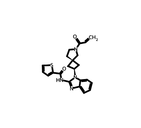 C=CC(=O)N1CC[C@]2(C1)C[C@H](n1c(NC(=O)c3cccs3)nc3ccccc31)C2